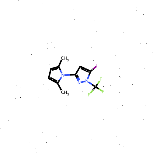 Cc1ccc(C)n1-c1cc(I)n(C(F)(F)F)n1